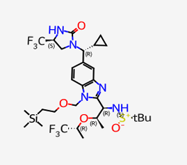 C[C@@H](O[C@H](C)C(F)(F)F)[C@H](N[S@+]([O-])C(C)(C)C)c1nc2cc([C@@H](C3CC3)N3C[C@@H](C(F)(F)F)NC3=O)ccc2n1COCC[Si](C)(C)C